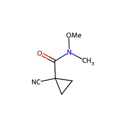 CON(C)C(=O)C1(C#N)CC1